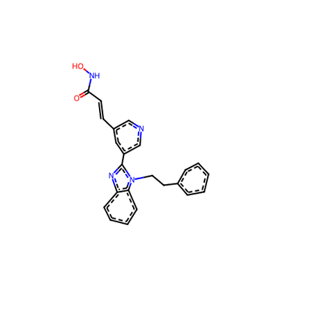 O=C(C=Cc1cncc(-c2nc3ccccc3n2CCc2ccccc2)c1)NO